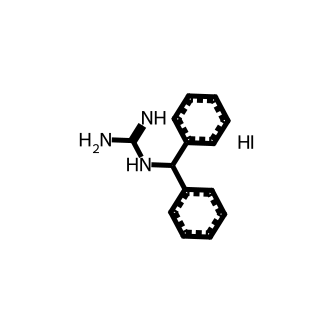 I.N=C(N)NC(c1ccccc1)c1ccccc1